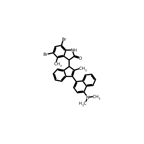 CC1=C(c2ccc(N(C)C)c3ccccc23)c2ccccc2C1C1C(=O)Nc2c(Br)cc(Br)c(C)c21